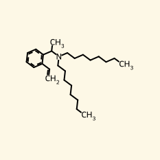 C=Cc1ccccc1C(C)N(CCCCCCCC)CCCCCCCC